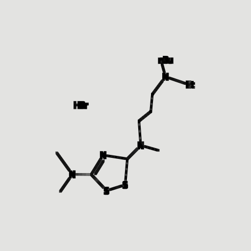 Br.CCCCN(CC)CCCN(C)C1N=C(N(C)C)SS1